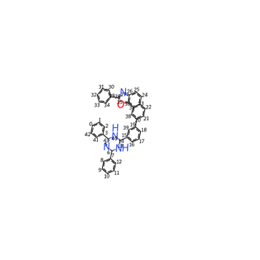 c1ccc(C2=NC(c3ccccc3)NC(c3cccc(-c4ccc5ccc6nc(-c7ccccc7)oc6c5c4)c3)N2)cc1